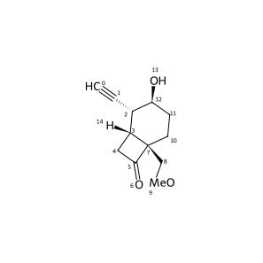 C#C[C@H]1[C@H]2CC(=O)[C@@]2(COC)CC[C@@H]1O